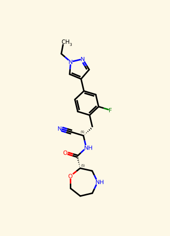 CCn1cc(-c2ccc(C[C@@H](C#N)NC(=O)[C@@H]3CNCCCO3)c(F)c2)cn1